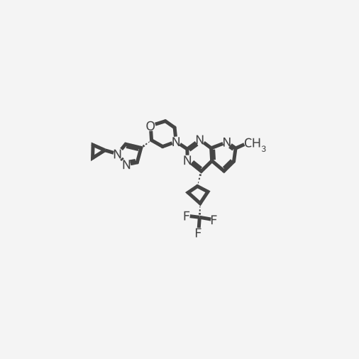 Cc1ccc2c(n1)nc(N1CCO[C@@H](c3cnn(C4CC4)c3)C1)nc2[C@H]1C[C@@H](C(F)(F)F)C1